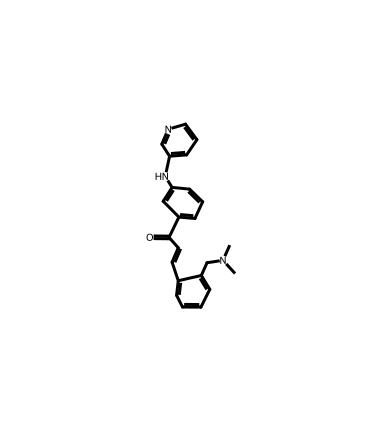 CN(C)Cc1ccccc1C=CC(=O)c1cccc(Nc2cccnc2)c1